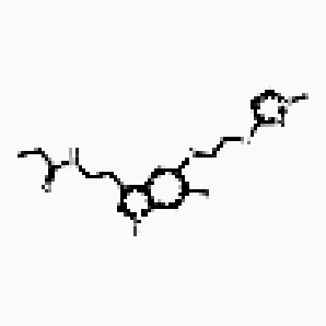 CCC(=O)NCCc1c[nH]c2cc(F)c(OCCOc3ccn(C)n3)cc12